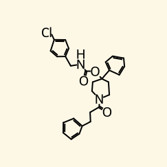 O=C(NCc1ccc(Cl)cc1)OC1(c2ccccc2)CCN(C(=O)CCc2ccccc2)CC1